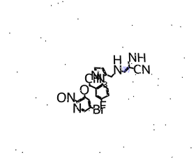 CC(Oc1cc(Br)cnc1N=O)c1cc(F)ccc1-n1nccc1CN/C=C(/C#N)C=N